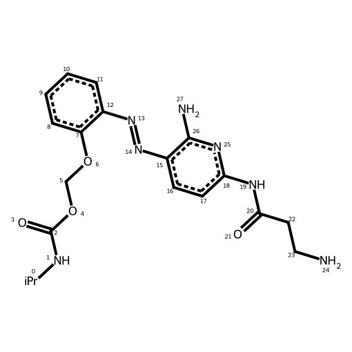 CC(C)NC(=O)OCOc1ccccc1/N=N/c1ccc(NC(=O)CCN)nc1N